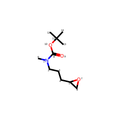 CN(CCCC1CO1)C(=O)OC(C)(C)C